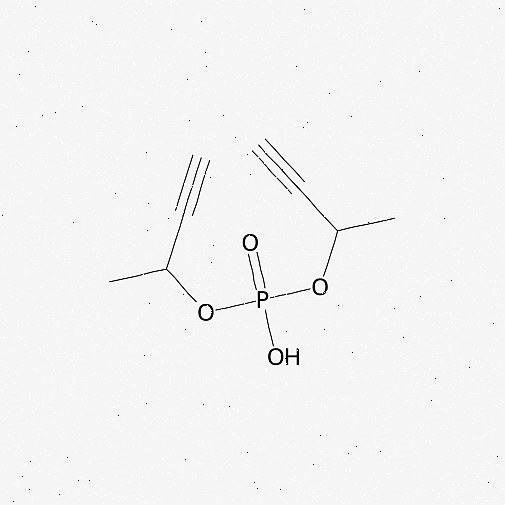 C#CC(C)OP(=O)(O)OC(C)C#C